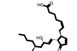 CCCC[C@H](C)C[C@H](O)/C=C/[C@H]1C(=O)C=C[C@@H]1C/C=C\CCCC(=O)O